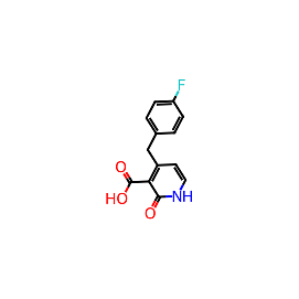 O=C(O)c1c(Cc2ccc(F)cc2)cc[nH]c1=O